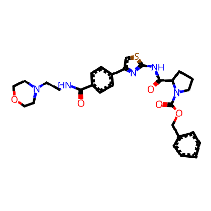 O=C(NCCN1CCOCC1)c1ccc(-c2csc(NC(=O)C3CCCN3C(=O)OCc3ccccc3)n2)cc1